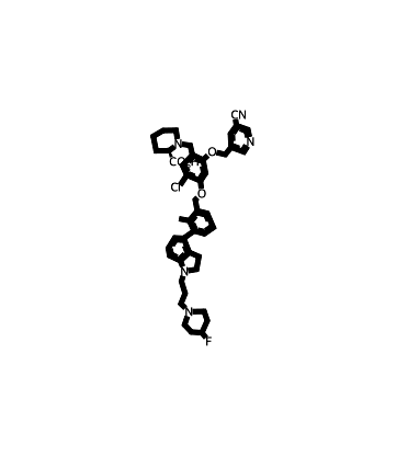 Cc1c(COc2cc(OCc3cncc(C#N)c3)c(CN3CCCC[C@@H]3C(=O)O)cc2Cl)cccc1-c1cccc2c1CCN2CCCN1CCC(F)CC1